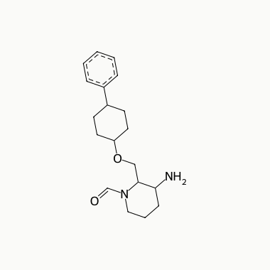 NC1CCCN(C=O)C1COC1CCC(c2ccccc2)CC1